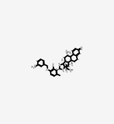 Cc1ccc(OCc2cccc(N)c2)c(F)c1[C@@H]1O[C@@H]2CC3[C@@H]4CCC5=CC(=O)C=C[C@]5(C)C4[C@@H](O)C[C@]3(C)[C@]2(C(=O)CO)O1